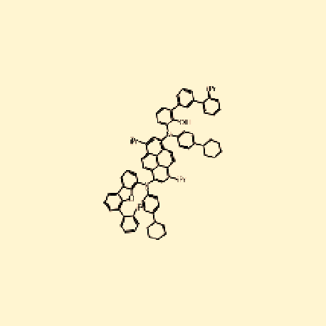 CC(C)c1ccccc1-c1cccc(-c2cccc(N(c3ccc(C4CCCCC4)cc3)c3cc(C(C)C)c4ccc5c(N(c6ccc(C7CCCCC7)cc6)c6cccc7c6oc6c(-c8ccccc8C(C)C)cccc67)cc(C(C)C)c6ccc3c4c65)c2O)c1